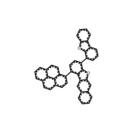 c1ccc2cc3c(cc2c1)oc1c(-c2cccc4c2oc2ccccc24)ccc(-c2ccc4ccc5cccc6ccc2c4c56)c13